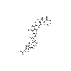 O=C(Nc1ccc(C(=O)N2CCN(C(=O)[C@H]3CCCCN3)CC2)c(Cl)c1)c1ncc(Cc2cn(C3CC3)nc2C(F)(F)F)[nH]1